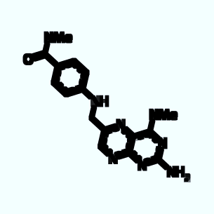 CNC(=O)c1ccc(NCc2cnc3nc(N)nc(NC)c3n2)cc1